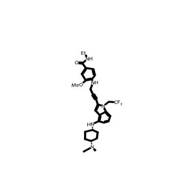 CCNC(=O)c1ccc(NCC#Cc2cc3c(N[C@H]4CC[C@@H](N(C)C)CC4)cccc3n2CC(F)(F)F)c(OC)c1